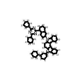 c1ccc(-c2cccc(-n3c4ccccc4c4c5c6ccccc6n(-c6ccc7c(-c8nc(-c9ccccc9)nc(-c9ccccc9)n8)cccc7c6)c5ccc43)c2)cc1